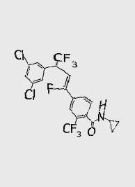 O=C(NC1CC1)c1ccc(/C(F)=C/C(c2cc(Cl)cc(Cl)c2)C(F)(F)F)cc1C(F)(F)F